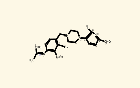 CNc1c(/N=C(/C)C=O)ccc(CN2CCN(c3ccc(C=O)nc3F)CC2)c1F